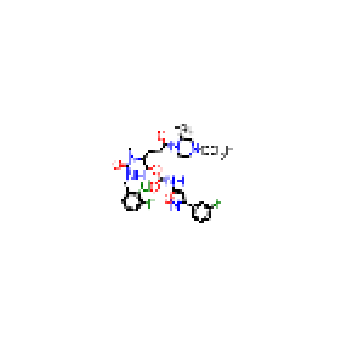 CN(C(=O)NCc1cccc(F)c1Cl)C(CCC(=O)N1CCN(C(=O)O)CC1C(C)(C)C)COC(=O)Nc1cc(-c2cccc(F)c2)no1